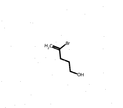 C=C(Br)CCCO